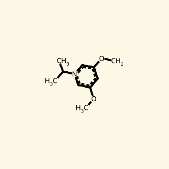 COc1cc(OC)c[n+](C(C)C)c1